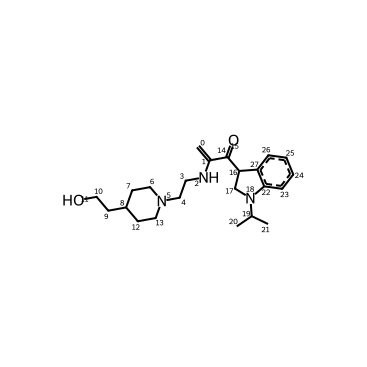 C=C(NCCN1CCC(CCO)CC1)C(=O)C1CN(C(C)C)c2ccccc21